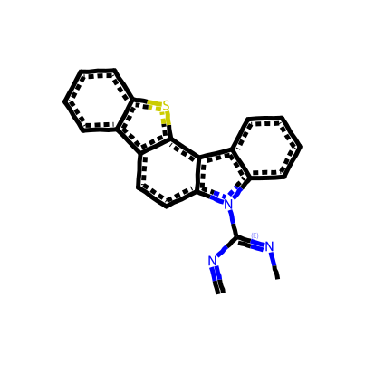 C=N/C(=N\C)n1c2ccccc2c2c3sc4ccccc4c3ccc21